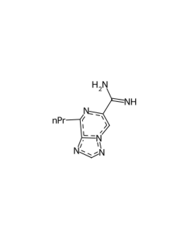 CCCc1nc(C(=N)N)cn2ncnc12